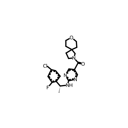 C[C@@H](Nc1ncc(C(=O)N2CCC3(CCOCC3)C2)cn1)c1ccc(Cl)cc1F